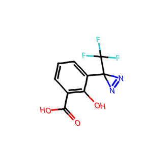 O=C(O)c1cccc(C2(C(F)(F)F)N=N2)c1O